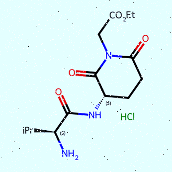 CCOC(=O)CN1C(=O)CC[C@H](NC(=O)[C@@H](N)C(C)C)C1=O.Cl